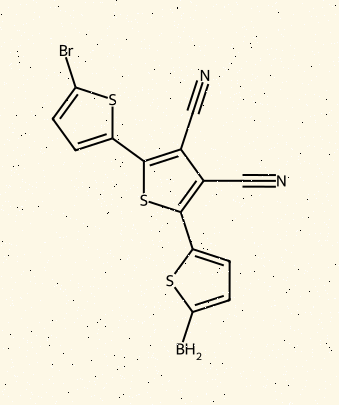 Bc1ccc(-c2sc(-c3ccc(Br)s3)c(C#N)c2C#N)s1